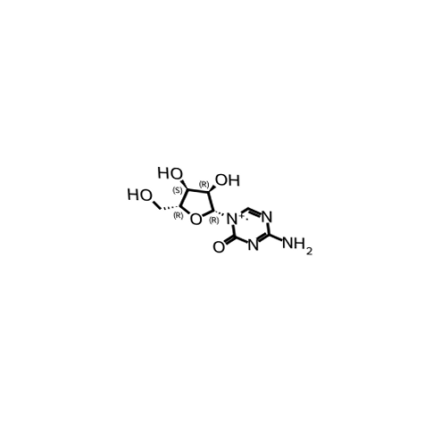 NC1=NC(=O)[N+]([C@@H]2O[C@H](CO)[C@@H](O)[C@H]2O)C=N1